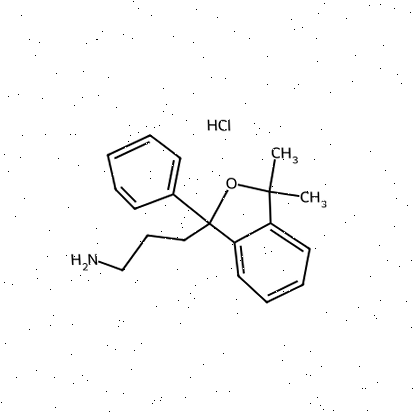 CC1(C)OC(CCCN)(c2ccccc2)c2ccccc21.Cl